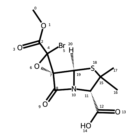 COC(=O)C1(Br)O[C@]12C(=O)N1[C@@H](C(=O)O)C(C)(C)S[C@@H]12